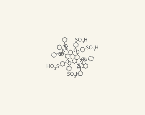 O=C(c1ccccc1)c1cccc(C(=O)c2ccccc2)c1N1C(=O)c2cc(Oc3ccc(S(=O)(=O)O)cc3)c3c4c(Oc5ccc(S(=O)(=O)O)cc5)cc5c6c(cc(Oc7ccc(S(=O)(=O)O)cc7)c(c7c(Oc8ccc(S(=O)(=O)O)cc8)cc(c2c37)C1=O)c64)C(=O)N(c1c(C(=O)c2ccccc2)cccc1C(=O)c1ccccc1)C5=O